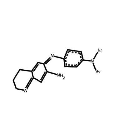 CCN(c1ccc(/N=C2/C=C3CCCN=C3C=C2N)cc1)C(C)C